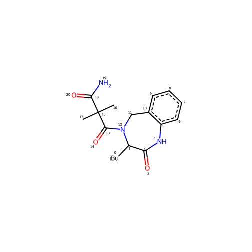 CCC(C)C1C(=O)Nc2ccccc2CN1C(=O)C(C)(C)C(N)=O